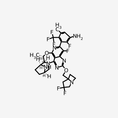 Cc1cc(N)c(F)c(-c2nc3c4c(nc(OCC56CCN5CC(F)(F)C6)nc4c2F)N2C[C@H]4CC[C@H](N4)[C@H]2[C@H](C)O3)c1C(F)(F)F